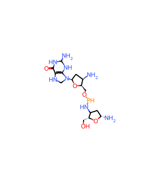 NC1NC(=O)C2=C(N1)N([C@H]1C[C@@H](N)[C@@H](COPNC3C[C@H](N)O[C@@H]3CO)O1)CN2